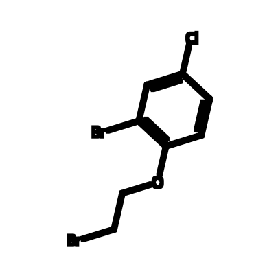 Clc1ccc(OCCBr)c(Br)c1